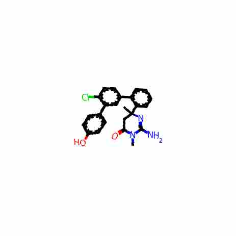 CN1C(=O)CC(C)(c2ccccc2-c2ccc(Cl)c(-c3ccc(O)cc3)c2)N=C1N